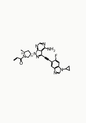 C=CC(=O)N1C[C@@H](n2nc(C#Cc3cc4ncn(C5CC5)c4cc3F)c3c(N)ncnc32)C[C@@H]1C